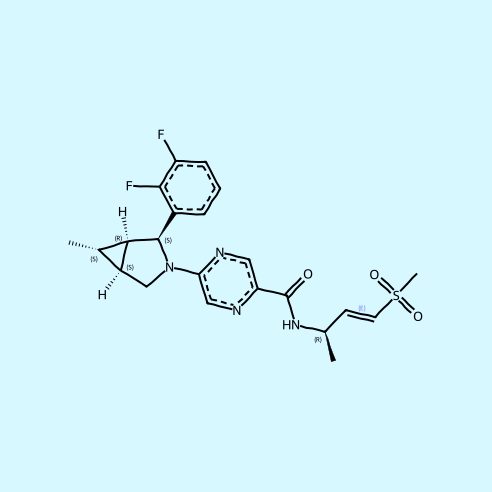 C[C@H]1[C@@H]2CN(c3cnc(C(=O)N[C@H](C)/C=C/S(C)(=O)=O)cn3)[C@H](c3cccc(F)c3F)[C@H]12